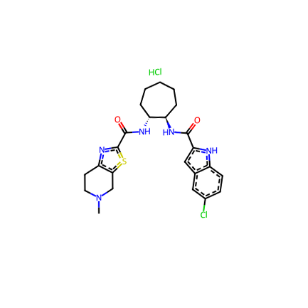 CN1CCc2nc(C(=O)N[C@@H]3CCCCC[C@H]3NC(=O)c3cc4cc(Cl)ccc4[nH]3)sc2C1.Cl